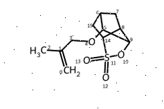 C=C(C)COC1C2CC3C1OS(=O)(=O)C3C2